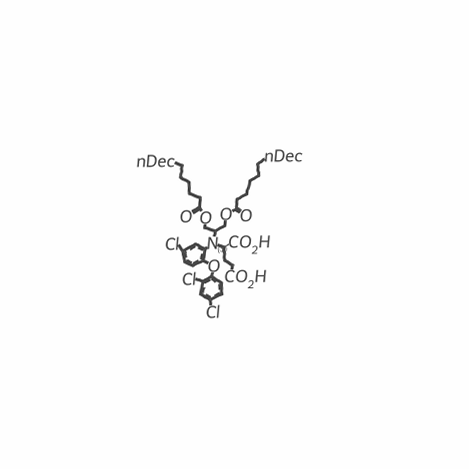 CCCCCCCCCCCCCCCC(=O)OCC(COC(=O)CCCCCCCCCCCCCCC)N(c1cc(Cl)ccc1Oc1ccc(Cl)cc1Cl)[C@@H](CCC(=O)O)C(=O)O